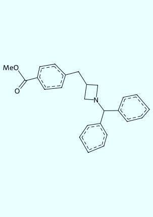 COC(=O)c1ccc(CC2CN(C(c3ccccc3)c3ccccc3)C2)cc1